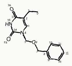 CCc1cn(COCc2ccccc2)c(=O)[nH]c1=O